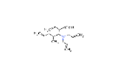 C=CCC(C)C(C(C=C)CCCCC)N(CC=C)CC=C